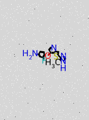 Cc1[nH]cnc1-c1cc2nccc(Oc3ccc(N)cc3F)c2s1